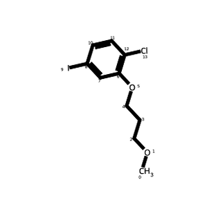 COCCCOc1cc(I)ccc1Cl